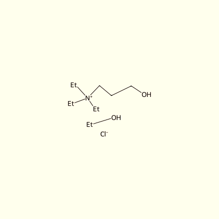 CC[N+](CC)(CC)CCCO.[CH2]CO.[Cl-]